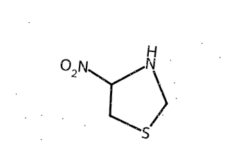 O=[N+]([O-])C1CSCN1